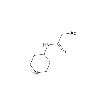 CC(=O)CC(=O)NC1CCNCC1